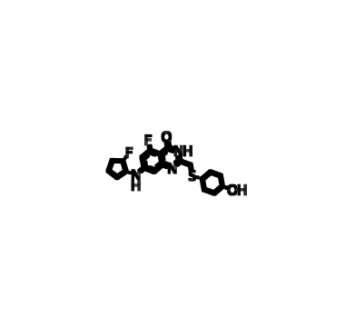 O=c1[nH]c(CS[C@H]2CC[C@H](O)CC2)nc2cc(N[C@@H]3CCC[C@@H]3F)cc(F)c12